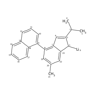 [Li][CH]1C(C(C)C)=Cc2c(-c3cccc4ccccc34)cc(C)cc21